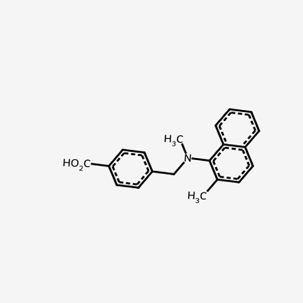 Cc1ccc2ccccc2c1N(C)Cc1ccc(C(=O)O)cc1